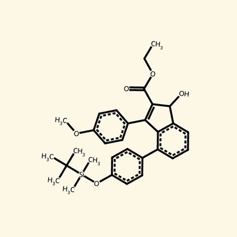 CCOC(=O)C1=C(c2ccc(OC)cc2)c2c(-c3ccc(O[Si](C)(C)C(C)(C)C)cc3)cccc2C1O